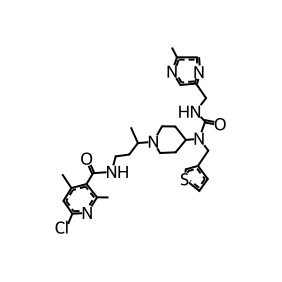 Cc1cnc(CNC(=O)N(Cc2ccsc2)C2CCN(C(C)CCNC(=O)c3c(C)cc(Cl)nc3C)CC2)cn1